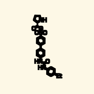 CCc1ccc(NC(=O)Nc2ccc(-c3ccc(S(=O)(=O)OC(=O)[C@@H]4CCCN4)cc3)cc2)cc1